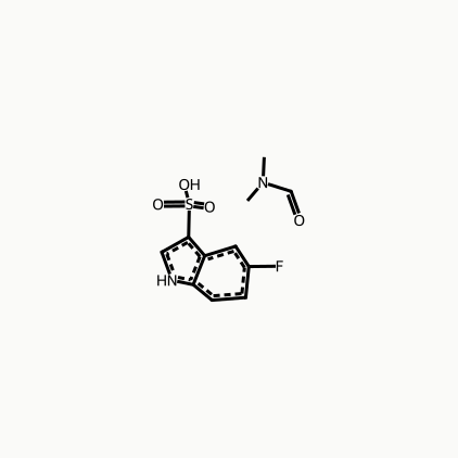 CN(C)C=O.O=S(=O)(O)c1c[nH]c2ccc(F)cc12